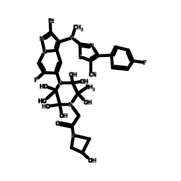 BC1(O)N(CC(=O)N2CC(O)C2)C(O)(O)C(O)(O)N(c2cc3c(N(C)c4nc(-c5ccc(F)cc5)c(C#N)s4)c(CC)nn3cc2F)C1(O)O